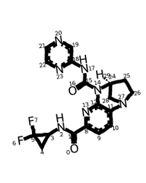 O=C(NC1CC1(F)F)c1ccc2c(n1)N(C(=O)Nc1cnccn1)[C@H]1CCN2C1